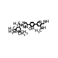 CNc1cc(-c2ccc(-c3cnc(N(C)C4CC(C)(C)NC(C)(C)C4)nn3)c(O)c2)cnc1C=N